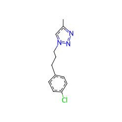 Cc1cn(CCCc2ccc(Cl)cc2)nn1